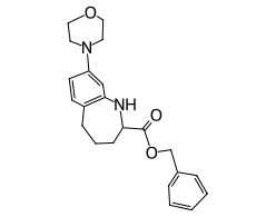 O=C(OCc1ccccc1)C1CCCc2ccc(N3CCOCC3)cc2N1